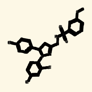 COc1cccc(S(=O)(=O)NCC2=NN(c3ccc(Cl)cc3Cl)C(c3ccc(Cl)cc3)C2)c1